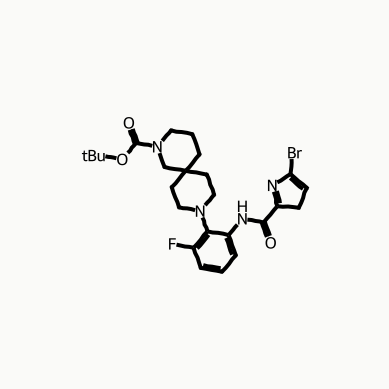 CC(C)(C)OC(=O)N1CCCC2(CCN(c3c(F)cccc3NC(=O)C3=NC(Br)=CC3)CC2)C1